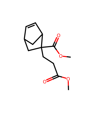 COC(=O)CCC1(C(=O)OC)CC2C=CC1C2